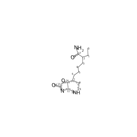 CCC(CCCCc1cc[nH]c2nc(=O)oc1-2)C(N)=O